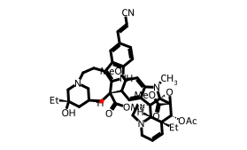 CC[C@]1(O)C[C@H]2CN(CCc3c([nH]c4ccc(/C=C/C#N)cc34)[C@@](C(=O)OC)(C3C=C4C(=CC3OC)N(C)[C@@]35O[C@]3(C(=O)OC)[C@H](OC(C)=O)[C@]3(CC)C=CCN6CC[C@]45[C@@H]63)C2)C1